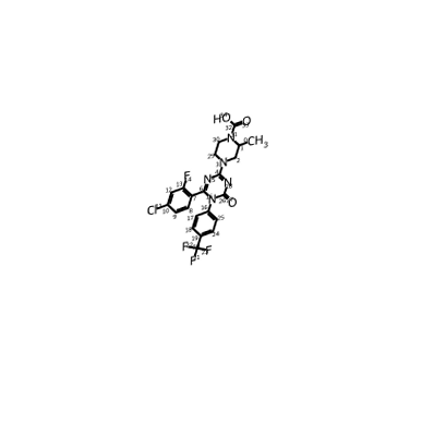 CC1CN(c2nc(-c3ccc(Cl)cc3F)n(-c3ccc(C(F)(F)F)cc3)c(=O)n2)CCN1C(=O)O